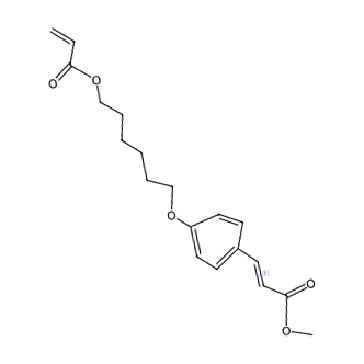 C=CC(=O)OCCCCCCOc1ccc(/C=C/C(=O)OC)cc1